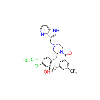 Cl.Cl.O=C(c1cc(C(F)(F)F)cc(C(F)(F)F)c1)N1CCN(Cc2c[nH]c3cccnc23)C[C@H]1Cc1ccc(Cl)c(O)c1